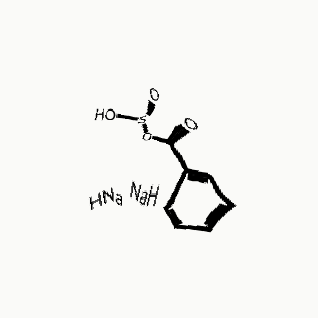 O=C(OS(=O)O)c1ccccc1.[NaH].[NaH]